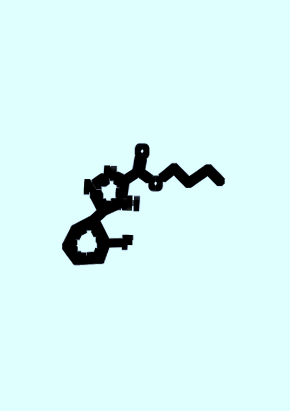 CCCCOC(=O)c1nnc(-c2ccccc2F)[nH]1